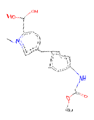 Cn1cc(-c2ccc(NC(=O)OC(C)(C)C)cc2)cc1C(O)O